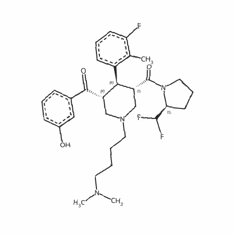 Cc1c(F)cccc1[C@@H]1[C@@H](C(=O)c2cccc(O)c2)CN(CCCCN(C)C)C[C@H]1C(=O)N1CCC[C@H]1C(F)F